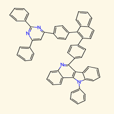 c1ccc(-c2cc(-c3ccc(-c4c(-c5ccc(-c6nc7ccccc7c7c6c6ccccc6n7-c6ccccc6)cc5)ccc5ccccc45)cc3)nc(-c3ccccc3)n2)cc1